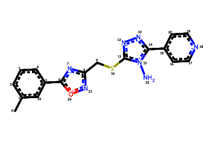 Cc1cccc(-c2nc(CSc3nnc(-c4ccncc4)n3N)no2)c1